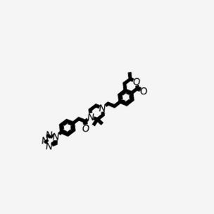 CC1Cc2cc(CCN3CCN(C(=O)Cc4ccc(-n5cnnn5)cc4)C(C)(C)C3)ccc2C(=O)O1